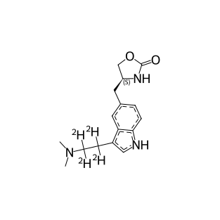 [2H]C([2H])(c1c[nH]c2ccc(C[C@H]3COC(=O)N3)cc12)C([2H])([2H])N(C)C